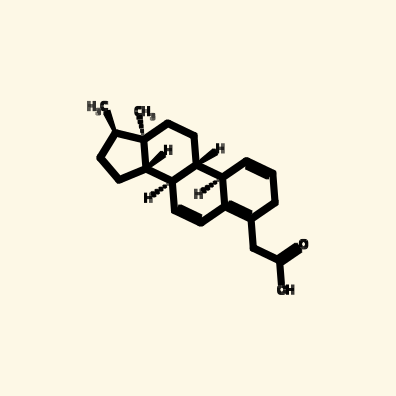 C[C@@H]1CC[C@H]2[C@@H]3C=CC4=C(CC(=O)O)CC=C[C@@H]4[C@H]3CC[C@]12C